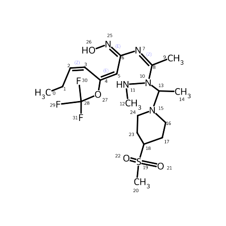 CC\C=C/C(=C\C(\N=C(\C)N(NC)C(C)N1CCC(S(C)(=O)=O)CC1)=N/O)OC(F)(F)F